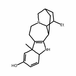 CCC1CC2CC3C4=C(CCN(C2)C13)C1(C)C=C(O)C=CC1N4